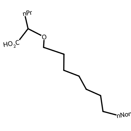 CCCCCCCCCCCCCCCCOC(CCC)C(=O)O